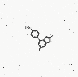 CC1=Cc2c(cc(C)cc2-c2ccc(C(C)(C)C)cc2)[CH]1